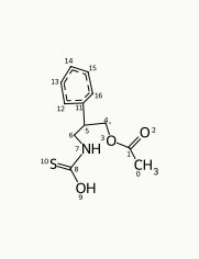 CC(=O)O[CH]C(CNC(O)=S)c1ccccc1